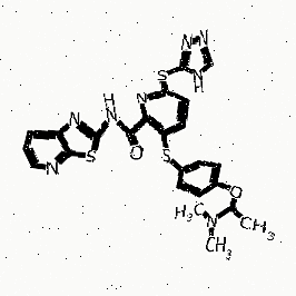 CC(Oc1ccc(Sc2ccc(Sc3nnc[nH]3)nc2C(=O)Nc2nc3cccnc3s2)cc1)N(C)C